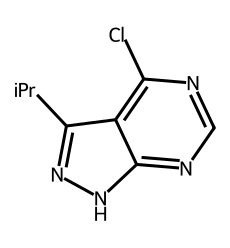 CC(C)c1n[nH]c2ncnc(Cl)c12